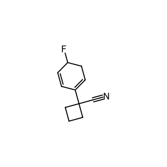 N#CC1(C2=CCC(F)C=C2)CCC1